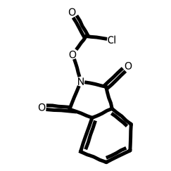 O=C(Cl)ON1C(=O)c2ccccc2C1=O